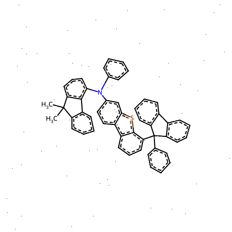 CC1(C)c2ccccc2-c2c(N(c3ccccc3)c3ccc4c(c3)sc3c(C5(c6ccccc6)c6ccccc6-c6ccccc65)cccc34)cccc21